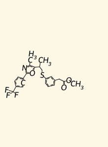 COC(=O)Cc1cccc(SCC(C)c2oc(-c3ccc(C(F)(F)F)cc3)nc2C)c1